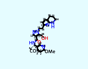 COc1ccc([C@H](CC(=O)O)NC(=O)c2cnn(CCc3ccc4c(n3)NCCC4)c2CO)cn1